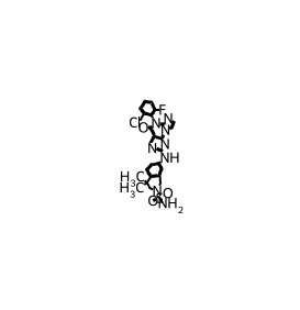 CC1(C)CN(S(N)(=O)=O)Cc2cc(Nc3ncc4c(=O)n(-c5c(F)cccc5Cl)c5nccn5c4n3)ccc21